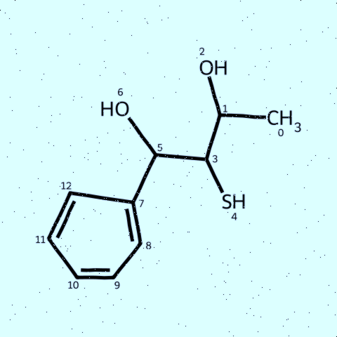 CC(O)C(S)C(O)c1ccccc1